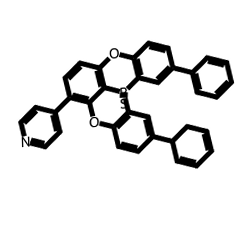 S=P12c3cc(-c4ccccc4)ccc3Oc3ccc(-c4ccncc4)c(c31)Oc1ccc(C3C=CC=CC3)cc12